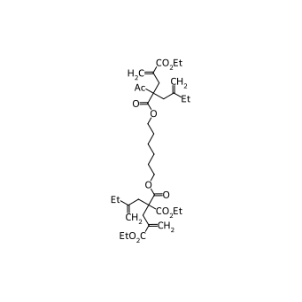 C=C(CC)CC(CC(=C)C(=O)OCC)(C(C)=O)C(=O)OCCCCCCOC(=O)C(CC(=C)CC)(CC(=C)C(=O)OCC)C(=O)OCC